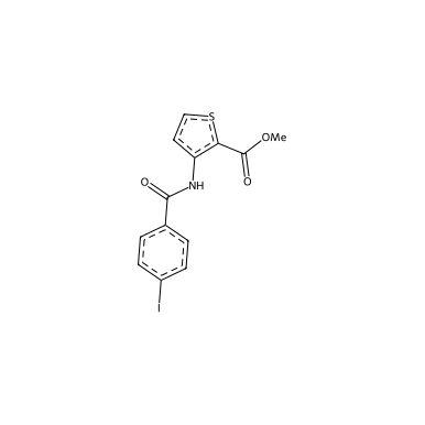 COC(=O)c1sccc1NC(=O)c1ccc(I)cc1